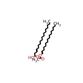 CCCCCCCCCCCCCCC=CCC(=O)O.CCCCCCCCCCCCCCC=COC(C)=O